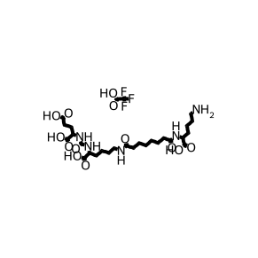 NCCCCC(NC(=O)CCCCCCC(=O)NCCCCC(NC(=O)NC(CCC(=O)O)C(=O)O)C(=O)O)C(=O)O.O=C(O)C(F)(F)F